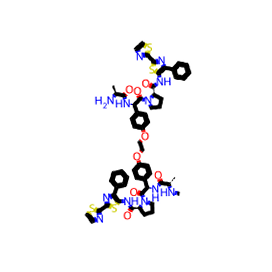 CN[C@@H](C)C(=O)N[C@H](C(=O)N1CCC[C@H]1C(=O)Nc1sc(-c2nccs2)nc1-c1ccccc1)c1ccc(OCCOc2ccc([C@H](NC(=O)[C@H](C)N)C(=O)N3CCC[C@H]3C(=O)Nc3sc(-c4nccs4)nc3-c3ccccc3)cc2)cc1